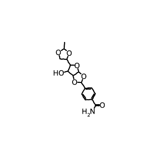 CC1OCC(C2OC3OC(c4ccc(C(N)=O)cc4)OC3C2O)O1